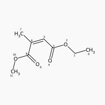 CCOC(=O)C=C(C)C(=O)OC